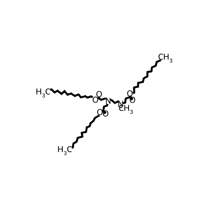 CCCCCCCCCCCCCCOC(=O)CCN(C)CCCN(CCC(=O)OCCCCCCCCCCCCCC)CCC(=O)OCCCCCCCCCCCCCC